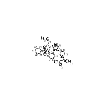 CCCCN(c1ccc(Cl)cc1-c1nncn1C1CCN(C(C)C)C1)S(=O)(=O)c1ccccc1